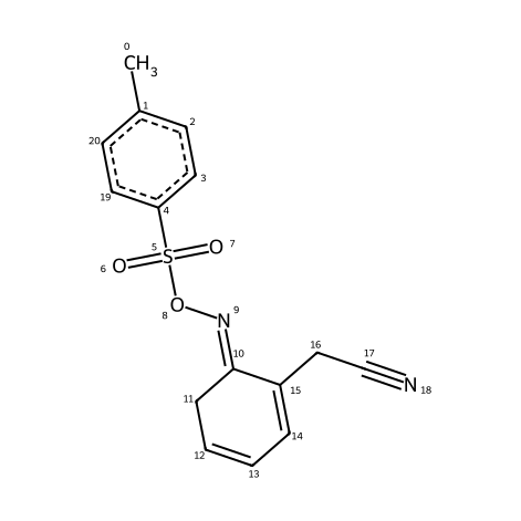 Cc1ccc(S(=O)(=O)ON=C2CC=CC=C2CC#N)cc1